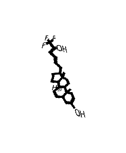 CC12CCC3[C@@H](CCC4CC(O)CCC43C)C1CCC2CCCCC(O)C(F)(F)F